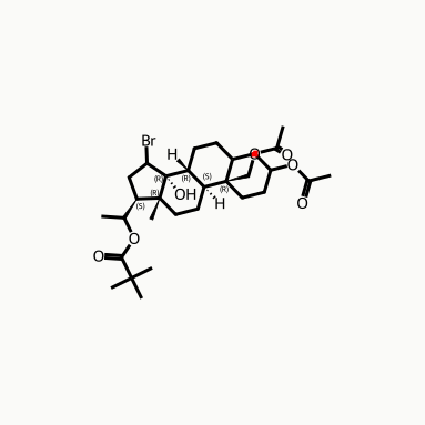 CC(=O)OC[C@]12CCC(OC(C)=O)CC1CC[C@@H]1[C@@H]2CC[C@]2(C)[C@@H](C(C)OC(=O)C(C)(C)C)CC(Br)[C@@]12O